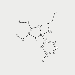 CCCO[Si](OCCC)(OCCC)c1cccc(C)c1